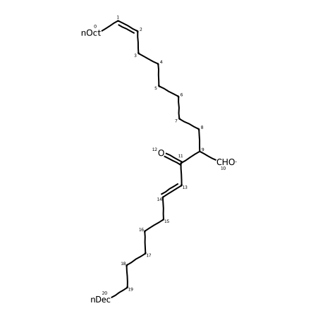 CCCCCCCC/C=C\CCCCCCC([C]=O)C(=O)C=CCCCCCCCCCCCCCCC